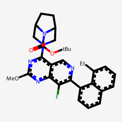 CCc1cccc2cccc(-c3ncc4c(N5CC6CCC(C5)N6C(=O)OC(C)(C)C)nc(OC)nc4c3F)c12